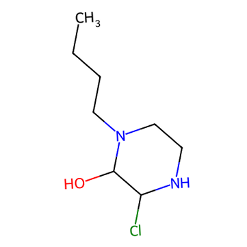 CCCCN1CCNC(Cl)C1O